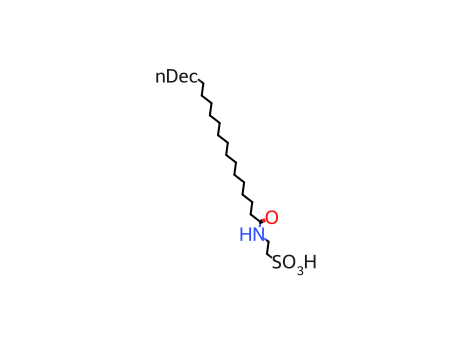 CCCCCCCCCCCCCCCCCCCCCCCCC(=O)NCCS(=O)(=O)O